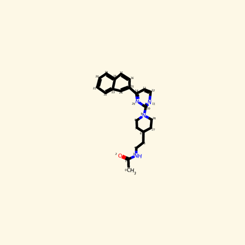 CC(=O)NCCC1CCN(c2nccc(-c3ccc4ccccc4c3)n2)CC1